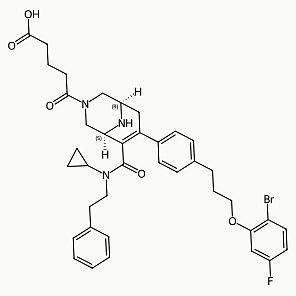 O=C(O)CCCC(=O)N1C[C@H]2CC(c3ccc(CCCOc4cc(F)ccc4Br)cc3)=C(C(=O)N(CCc3ccccc3)C3CC3)[C@@H](C1)N2